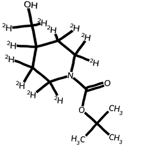 [2H]C([2H])(O)C1([2H])C([2H])([2H])C([2H])([2H])N(C(=O)OC(C)(C)C)C([2H])([2H])C1([2H])[2H]